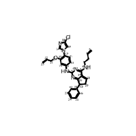 C=CCCNC1=NC(Nc2ccc(-n3cnc(Cl)c3)c(OCC=C)c2)N=C2C1=CCC2c1ccccc1